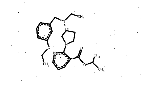 CCOc1cccc(CN(CC)[C@@H]2CCN(c3ncccc3C(=O)OC(C)C)C2)c1